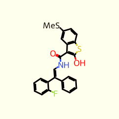 CSc1ccc2sc(O)c(C(=O)N/C=C(\c3ccccc3)c3ccccc3F)c2c1